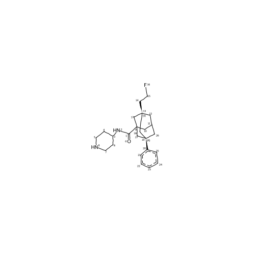 O=C(NC1CCNCC1)C12CC3C[C@@](CCF)(C1)C[C@](c1ccccc1)(C3)C2